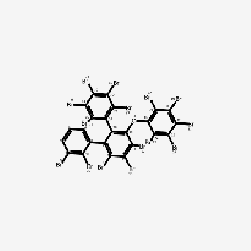 Brc1cccc(-c2c(Br)c(Br)c(Br)c(Oc3c(Br)c(Br)c(Br)c(Br)c3Br)c2-c2c(Br)c(Br)c(Br)c(Br)c2Br)c1Br